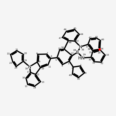 C1=CC(c2cc(-c3ccc4c(c3)c3ccccc3n4-c3ccccc3)cc3c2B(Nc2ccccc2)N(c2ccccc2)c2ccccc2-3)C=C1